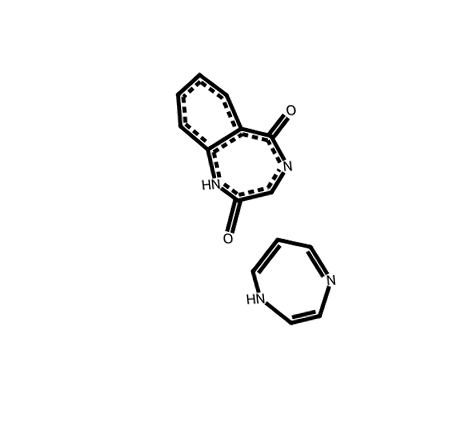 C1=CNC=CN=C1.O=c1cnc(=O)c2ccccc2[nH]1